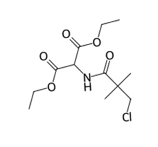 CCOC(=O)C(NC(=O)C(C)(C)CCl)C(=O)OCC